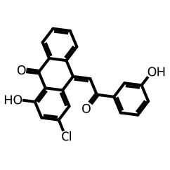 O=C(C=C1c2ccccc2C(=O)c2c(O)cc(Cl)cc21)c1cccc(O)c1